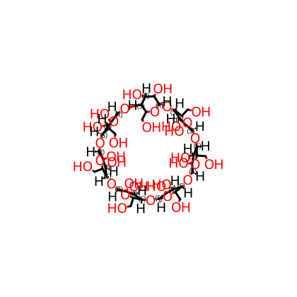 OCC1O[C@@H]2O[C@@H]3C(CO)O[C@H](O[C@@H]4C(CO)O[C@@H](O[C@@H]5C(CO)O[C@@H](O[C@@H]6C(CO)O[C@@H](O[C@@H]7C(CO)O[C@H](O[C@@H]8C(CO)O[C@H](O[C@H]1[C@H](O)C2O)C(O)[C@H]8O)C(O)[C@H]7O)C(O)[C@H]6O)C(O)[C@@H]5O)C(O)[C@H]4O)C(O)[C@H]3O